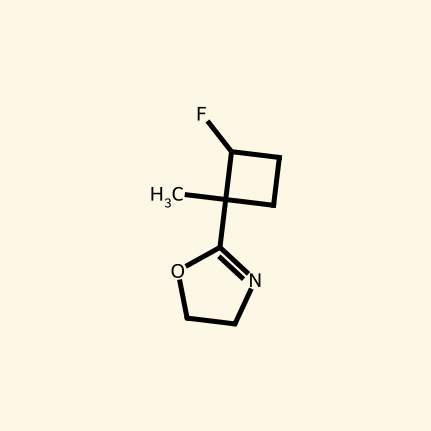 CC1(C2=NCCO2)CCC1F